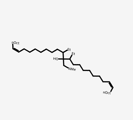 CCCCCCCC/C=C\CCCCCCCC(CC)C(O)(CNC)C(CC)CCCCCCC/C=C\CCCCCCCC